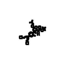 Cc1cc(N(CCCl)CCCl)ccc1C(C)(CNC(=O)OC(C)(C)C)CC(=O)OCC(C)C